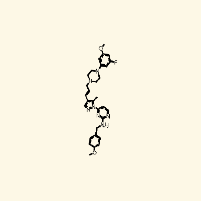 COc1ccc(CNc2nccc(-n3ncc(C=CCN4CCN(c5cc(F)cc(OC)c5)CC4)c3C)n2)cc1